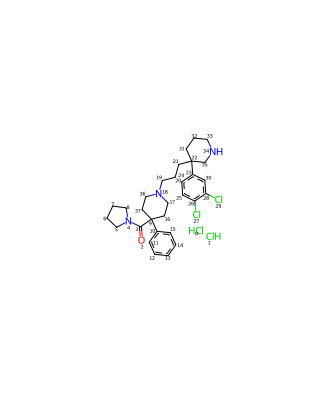 Cl.Cl.O=C(N1CCCC1)C1(c2ccccc2)CCN(CCCC2(c3ccc(Cl)c(Cl)c3)CCCNC2)CC1